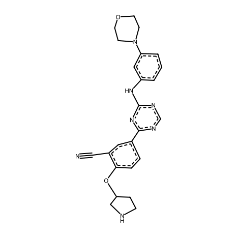 N#Cc1cc(-c2ncnc(Nc3cccc(N4CCOCC4)c3)n2)ccc1OC1CCNC1